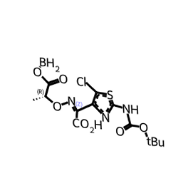 BOC(=O)[C@@H](C)O/N=C(\C(=O)O)c1nc(NC(=O)OC(C)(C)C)sc1Cl